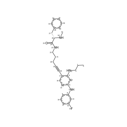 CCCNc1nc(Nc2cccc(F)c2)ncc1C#CCCCNC(=O)[C@H](Cc1ccccc1)NC